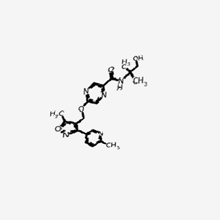 Cc1ccc(-c2noc(C)c2COc2cnc(C(=O)NC(C)(C)CO)cn2)cn1